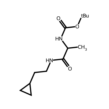 CC(NC(=O)OC(C)(C)C)C(=O)NCCC1CC1